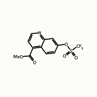 COC(=O)c1ccnc2cc(OS(=O)(=O)C(F)(F)F)ccc12